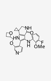 COc1c(F)cccc1Nc1c(-c2ccncc2OCC2CCO2)[nH]c2c1C(=O)NCC21CC1